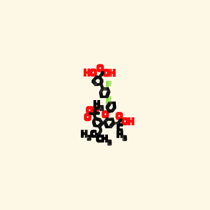 CC(C(=O)O)c1cccc(Oc2ccccc2)c1.CC(C)Cc1ccc(C(C)C(=O)O)cc1.O=C(O)c1cc(-c2ccc(F)cc2F)ccc1O